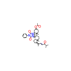 CC(=O)O[C@H]1CC[C@]2(C)C3CC[C@@]4(C)C(CC[C@@H]4[C@H](C)/C=C/C(=O)C(C)C)[C@]34C=CC2(C1)n1c(=O)n(-c2ccccc2)c(=O)n14